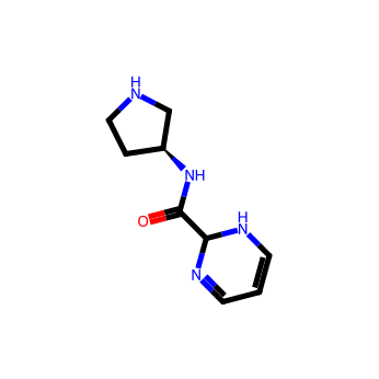 O=C(N[C@H]1CCNC1)C1N=CC=CN1